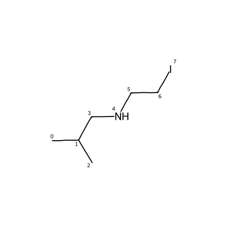 CC(C)CNCCI